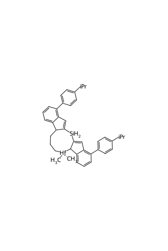 CC(C)c1ccc(-c2cccc3c2C=C2[SiH2]C4=Cc5c(-c6ccc(C(C)C)cc6)cccc5[CH]4[Hf]([CH3])([CH3])[CH2]CCC23)cc1